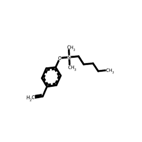 C=Cc1ccc(O[Si](C)(C)CCCCC)cc1